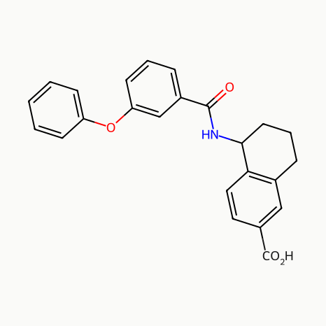 O=C(O)c1ccc2c(c1)CCCC2NC(=O)c1cccc(Oc2ccccc2)c1